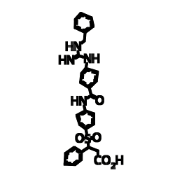 N=C(NCc1ccccc1)Nc1ccc(C(=O)Nc2ccc(S(=O)(=O)C(CC(=O)O)c3ccccc3)cc2)cc1